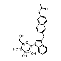 CC(=O)Oc1ccc2cc(Cc3cn([C@@H]4O[C@H](CO)[C@@H](O)[C@H](O)[C@H]4O)c4ccccc34)ccc2c1